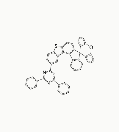 c1ccc(-c2cc(-c3ccc4sc5ccc6c(c5c4c3)-c3ccccc3C63c4ccccc4Oc4ccccc43)nc(-c3ccccc3)n2)cc1